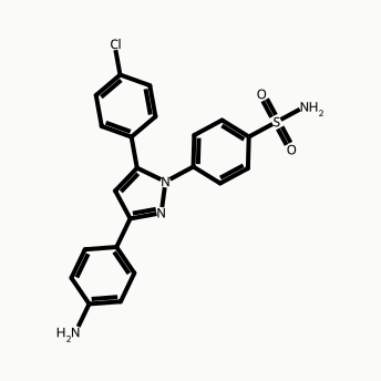 Nc1ccc(-c2cc(-c3ccc(Cl)cc3)n(-c3ccc(S(N)(=O)=O)cc3)n2)cc1